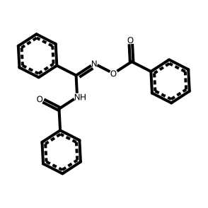 O=C(N/C(=N\OC(=O)c1ccccc1)c1ccccc1)c1ccccc1